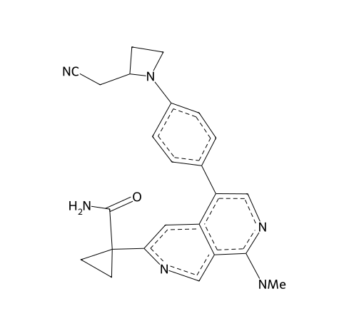 CNc1ncc(-c2ccc(N3CCC3CC#N)cc2)c2cc(C3(C(N)=O)CC3)ncc12